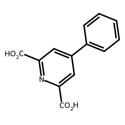 O=C(O)c1cc(-c2ccccc2)cc(C(=O)O)n1